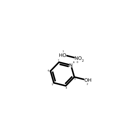 O=[N+]([O-])O.Oc1ccccn1